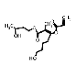 C=CC(=O)OC(CCCCO)=C(C)C(=O)OCCC(C)O